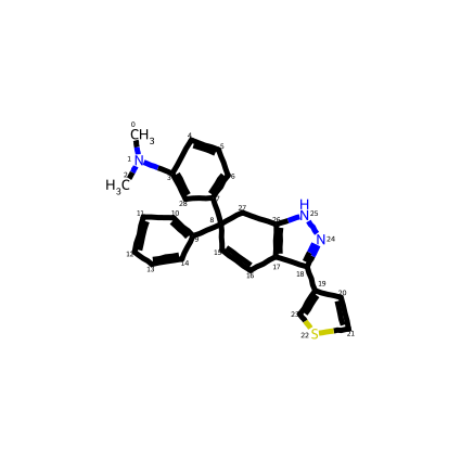 CN(C)c1cccc(C2(c3ccccc3)C=Cc3c(-c4ccsc4)n[nH]c3C2)c1